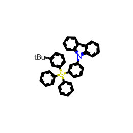 CC(C)(C)c1cccc(S(c2ccccc2)(c2ccccc2)c2cccc(-n3c4ccccc4c4ccccc43)c2)c1